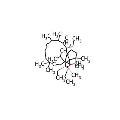 CCC1CCC(C)(C)CCCC(C)C(C)C(C)[C@H](CC)C12CCC(C)(C)C21C[S@@](C)(CC)[C@H](CC)C1C(C)C